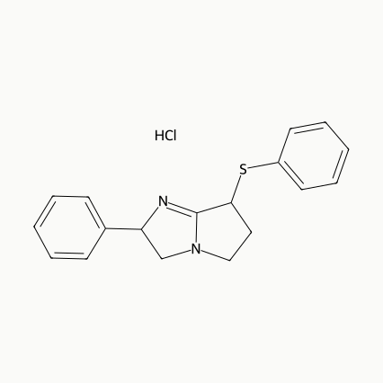 Cl.c1ccc(SC2CCN3CC(c4ccccc4)N=C23)cc1